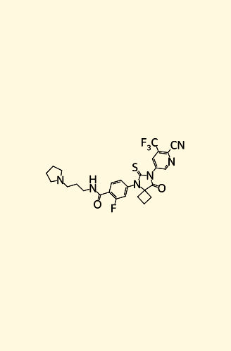 N#Cc1ncc(N2C(=O)C3(CCC3)N(c3ccc(C(=O)NCCCN4CCCC4)c(F)c3)C2=S)cc1C(F)(F)F